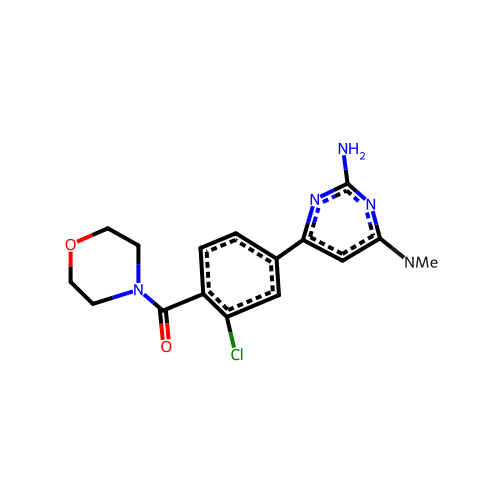 CNc1cc(-c2ccc(C(=O)N3CCOCC3)c(Cl)c2)nc(N)n1